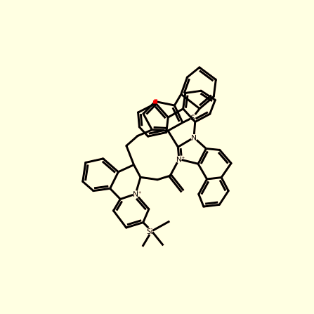 C=C1CC2C(CCc3ccc4c(sc5ccccc54)c3-c3n(-c4ccccc4-c4ccccc4)c4ccc5ccccc5c4[n+]31)c1ccccc1-c1ccc([Si](C)(C)C)c[n+]12